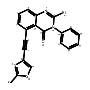 CCc1nc2cccc(C#Cc3csc(C)n3)c2c(=O)n1-c1ccccc1